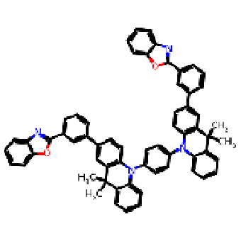 CC1(C)c2ccccc2N(c2ccc(N3c4ccccc4C(C)(C)c4cc(-c5cccc(-c6nc7ccccc7o6)c5)ccc43)cc2)c2ccc(-c3cccc(-c4nc5ccccc5o4)c3)cc21